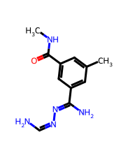 CNC(=O)c1cc(C)cc(/C(N)=N/N=C\N)c1